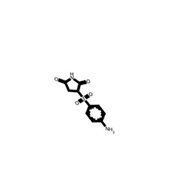 Nc1ccc(S(=O)(=O)C2CC(=O)NC2=O)cc1